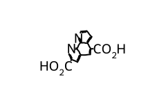 O=C(O)c1cnc2c(c1)cc(C(=O)O)c1cccnc12